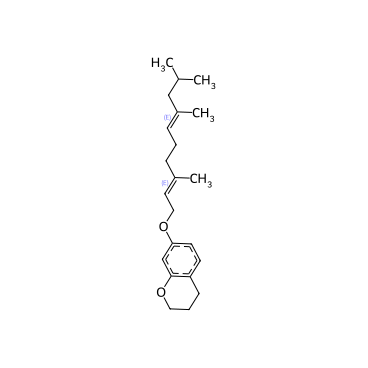 C/C(=C\COc1ccc2c(c1)OCCC2)CC/C=C(\C)CC(C)C